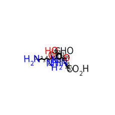 NCCCC[C@H](N)C(=O)Nc1cccc(C(=O)NCCC(=O)O)c1.O=CO